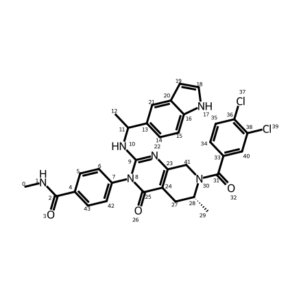 CNC(=O)c1ccc(-n2c(NC(C)c3ccc4[nH]ccc4c3)nc3c(c2=O)C[C@@H](C)N(C(=O)c2ccc(Cl)c(Cl)c2)C3)cc1